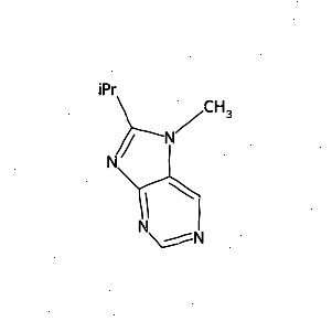 CC(C)c1nc2ncncc2n1C